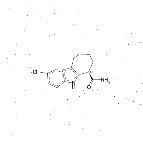 NC(=O)[C@@H]1CCCCc2c1[nH]c1ccc(Cl)cc21